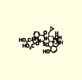 O=C(O)C(O)C(On1c(=S)n(C2C(CC3CC3)C[C@@]3(O)[C@H]4Cc5ccc(O)c6c5[C@@]3(CCN4)C2O6)c(=O)c2ccccc21)C(=O)O